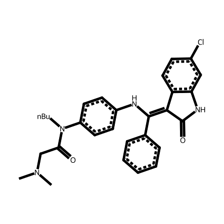 CCCCN(C(=O)CN(C)C)c1ccc(NC(=C2C(=O)Nc3cc(Cl)ccc32)c2ccccc2)cc1